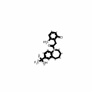 Cc1cccc(Cl)c1CC(=O)N1CCCCc2cc(C(O)(F)C(F)(F)F)ccc21